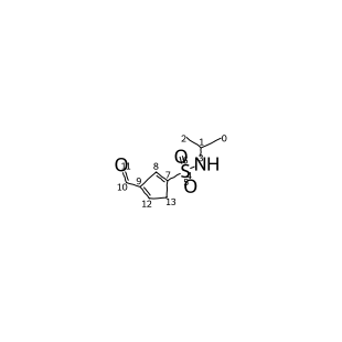 CC(C)NS(=O)(=O)C1=CC(C=O)=CC1